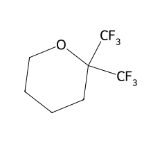 FC(F)(F)C1(C(F)(F)F)CCCCO1